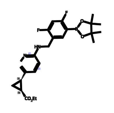 C=C(/C=C\C(=N/C)NCc1cc(B2OC(C)(C)C(C)(C)O2)c(F)cc1F)[C@H]1C[C@@H]1C(=O)OCC